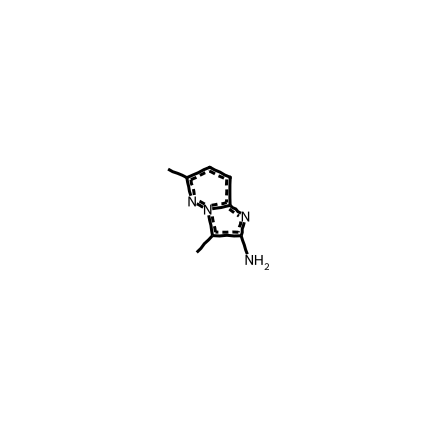 Cc1ccc2nc(N)c(C)n2n1